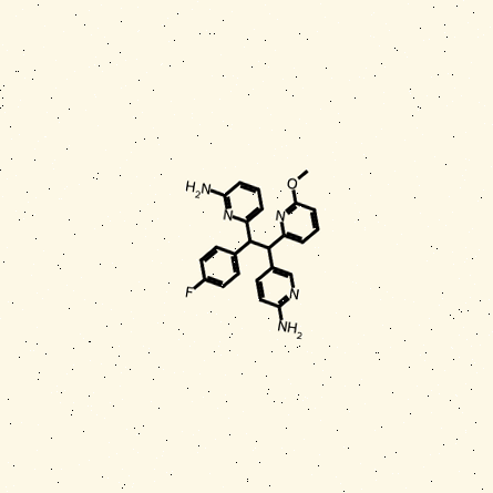 COc1cccc(C(c2ccc(N)nc2)C(c2ccc(F)cc2)c2cccc(N)n2)n1